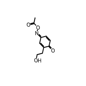 CC(=O)ON=C1C=CC(=O)C(CCO)=C1